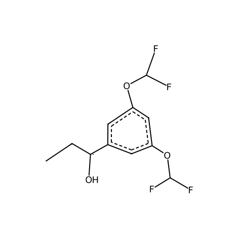 CC[C](O)c1cc(OC(F)F)cc(OC(F)F)c1